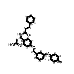 O=C(O)C[C@H](NC(=O)CCc1ccccc1)c1ccc(OCc2cccc(Oc3ccc(F)cc3)c2)cc1